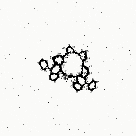 c1ccc(-c2c3ccccc3c3c4nnc(o4)c4c5ccccc5c(-c5ccccc5)c5ccc(cc54)c4cccc(c4)c4cccc(c4)c4ccc2c3c4)cc1